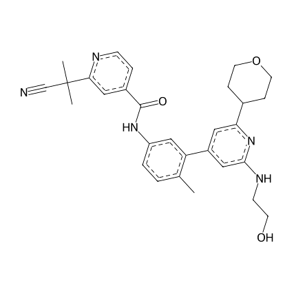 Cc1ccc(NC(=O)c2ccnc(C(C)(C)C#N)c2)cc1-c1cc(NCCO)nc(C2CCOCC2)c1